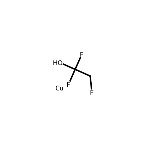 OC(F)(F)CF.[Cu]